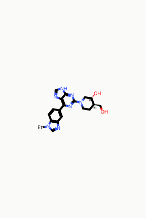 CCn1cnc2cc(-c3nc(N4CC[C@H](CO)[C@@H](O)C4)nc4[nH]cnc34)ccc21